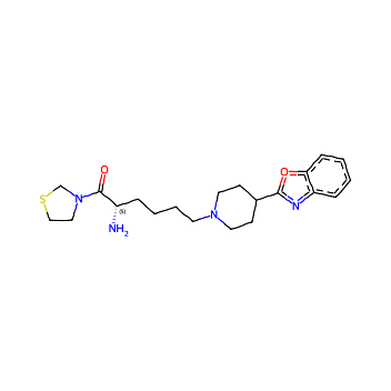 N[C@@H](CCCCN1CCC(c2nc3ccccc3o2)CC1)C(=O)N1CCSC1